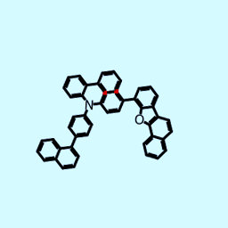 c1ccc(-c2ccccc2N(c2ccc(-c3cccc4ccccc34)cc2)c2ccc(-c3cccc4c3oc3c5ccccc5ccc43)cc2)cc1